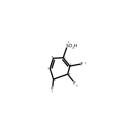 O=S(=O)(O)C1=C(F)C(F)C(F)C=C1